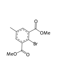 COC(=O)c1cc(C)cc(C(=O)OC)c1Br